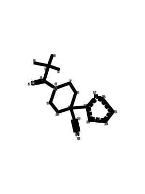 CC(C)(C)C(=O)N1CCC(C#N)(c2ccccn2)CC1